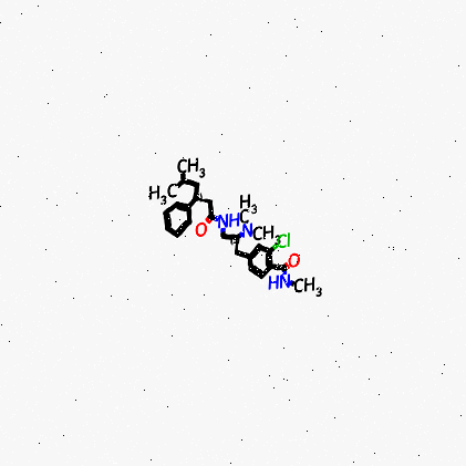 CNC(=O)c1ccc(C[C@@H](CNC(=O)C[C@H](CC(C)C)c2ccccc2)N(C)C)cc1Cl